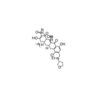 CCN(Cc1cc(O)c2c(c1Cl)C[C@H]1C[C@H]3[C@H](N(C)C)C(O)=C(C(N)=O)C(=O)[C@@]3(O)C(O)=C1C2=O)C1CCOC1